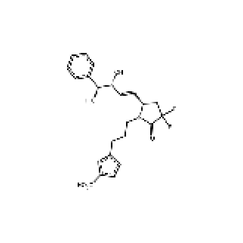 C[C@@H](c1ccccc1)[C@H](O)/C=C/[C@H]1CC(F)(F)C(=O)N1CCCc1ccc(C(=O)O)s1